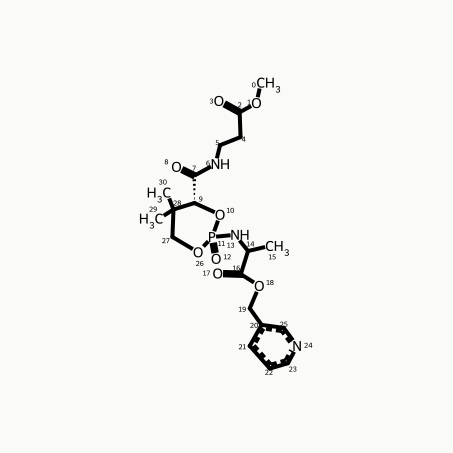 COC(=O)CCNC(=O)[C@@H]1OP(=O)(NC(C)C(=O)OCc2cccnc2)OCC1(C)C